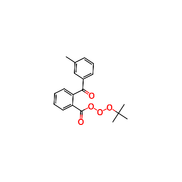 Cc1cccc(C(=O)c2ccccc2C(=O)OOOC(C)(C)C)c1